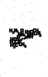 CC(C)(C)OC(=O)N[C@@H](CCCN(C(=O)O)C(C)(C)C)CNC(=O)CCN